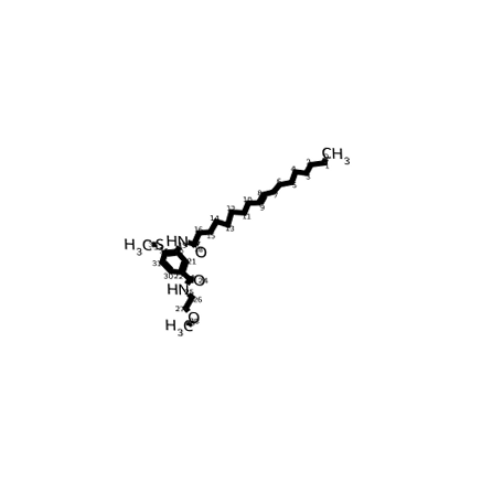 CCCCCCCCC=CCCCCCCCC(=O)Nc1cc(C(=O)NCCOC)ccc1SC